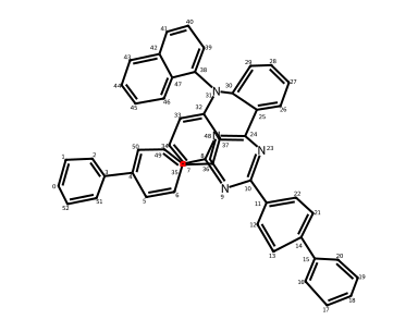 c1ccc(-c2ccc(-c3nc(-c4ccc(-c5ccccc5)cc4)nc(-c4ccccc4N(c4ccccc4)c4cccc5ccccc45)n3)cc2)cc1